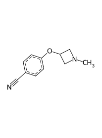 CN1CC(Oc2ccc(C#N)cc2)C1